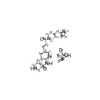 O=C(C=Cc1cnc2c(c1)CC1(CCNCC1)C(=O)N2)N1CC=C(Cc2nccs2)CC1.O=C(O)C(F)(F)F